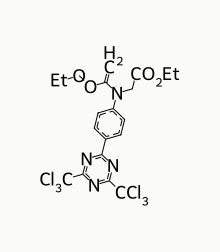 C=C(OOCC)N(CC(=O)OCC)c1ccc(-c2nc(C(Cl)(Cl)Cl)nc(C(Cl)(Cl)Cl)n2)cc1